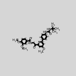 COc1cc(C(=O)CNC(=O)c2ccc(OC)c(OC)c2)nc(-c2ccc(NC(=O)NC(C)(C)C)cc2)c1